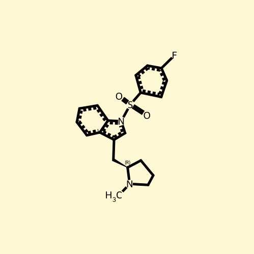 CN1CCC[C@@H]1Cc1cn(S(=O)(=O)c2ccc(F)cc2)c2ccccc12